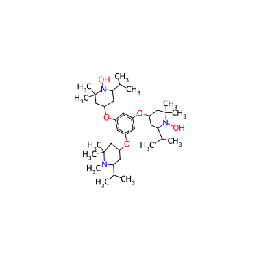 CC(C)C1CC(Oc2cc(OC3CC(C(C)C)N(O)C(C)(C)C3)cc(OC3CC(C(C)C)N(O)C(C)(C)C3)c2)CC(C)(C)N1C